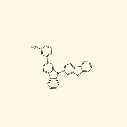 Cc1cccc(-c2ccc3c4ccccc4n(-c4ccc5c(c4)oc4ccccc45)c3c2)c1